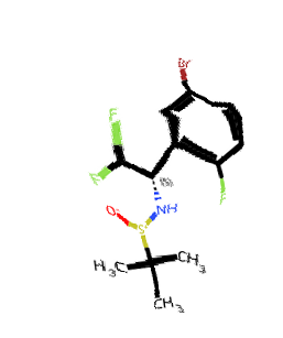 CC(C)(C)[S+]([O-])N[C@@H](c1cc(Br)ccc1F)C(F)F